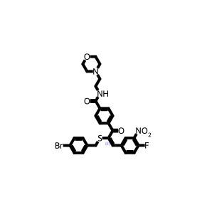 O=C(NCCN1CCOCC1)c1ccc(C(=O)/C(=C\c2ccc(F)c([N+](=O)[O-])c2)SCc2ccc(Br)cc2)cc1